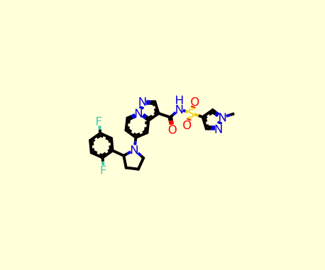 Cn1cc(S(=O)(=O)NC(=O)c2cnn3ccc(N4CCCC4c4cc(F)ccc4F)cc23)cn1